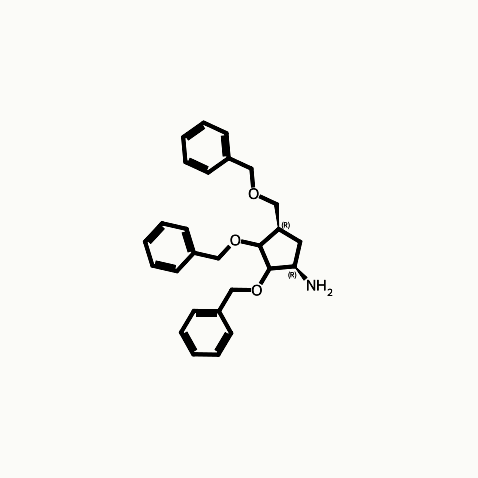 N[C@@H]1C[C@H](COCc2ccccc2)C(OCc2ccccc2)C1OCc1ccccc1